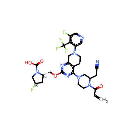 C=CC(=O)N1CCN(c2nc(OC[C@@H]3C[C@@H](F)CN3C(=O)O)nc3c2CCN(c2cncc(F)c2C(F)(F)F)C3)CC1CC#N